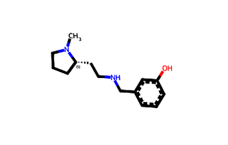 CN1CCC[C@H]1CCNCc1cccc(O)c1